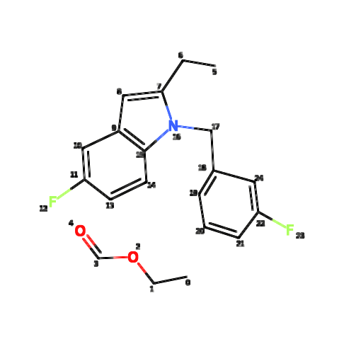 CCOC=O.CCc1cc2cc(F)ccc2n1Cc1cccc(F)c1